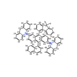 CC1(C)c2ccccc2-c2c(-c3c4cc(N5c6ccccc6Cc6ccccc65)ccc4c(-c4cccc5ccccc45)c4cc(N5c6ccccc6Cc6ccccc65)ccc34)cccc21